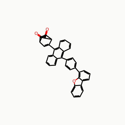 O=C1C(=O)C2C=CC1C=C2c1c2ccccc2c(-c2ccc(-c3cccc4c3oc3ccccc34)cc2)c2ccccc12